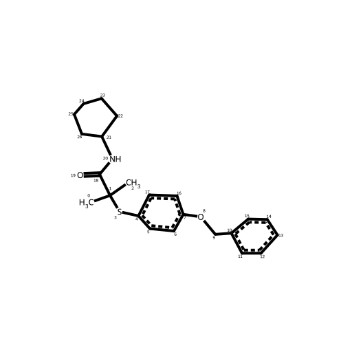 CC(C)(Sc1ccc(OCc2ccccc2)cc1)C(=O)NC1CCCCC1